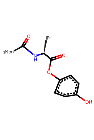 CCCCCCCCCC(=O)N[C@H](C(=O)Oc1ccc(O)cc1)C(C)C